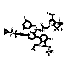 CC(C)(C#Cc1ccc(-c2ccc(Cl)c3c(NS(C)(=O)=O)nn(CC(F)F)c23)c([C@H](Cc2cc(F)cc(F)c2)NC(=O)Cn2nc(C(F)F)c3c2C(F)(F)[C@@H]2C[C@H]32)n1)S(=O)(=O)C1CC1